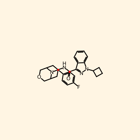 O=C(NC1CC2COCC(C1)N2Cc1ccc(F)cc1)c1nn(C2CCC2)c2ccccc12